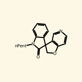 CCCCCN1C(=O)C2(COc3ccncc32)c2ccccc21